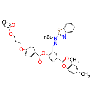 C=CC(=O)OCCCOc1ccc(C(=O)Oc2ccc(C(=O)Oc3ccc(C)cc3C)cc2/C=N/N(CCCC)c2nc3ccccc3s2)cc1